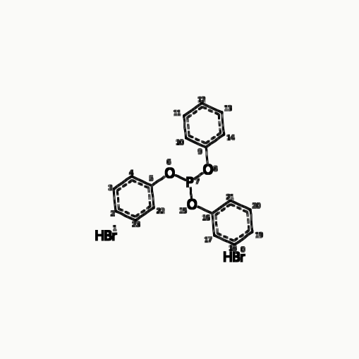 Br.Br.c1ccc(OP(Oc2ccccc2)Oc2ccccc2)cc1